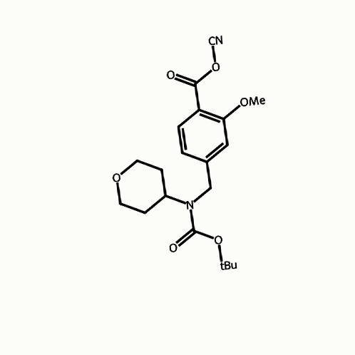 COc1cc(CN(C(=O)OC(C)(C)C)C2CCOCC2)ccc1C(=O)OC#N